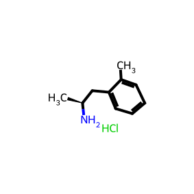 Cc1ccccc1C[C@H](C)N.Cl